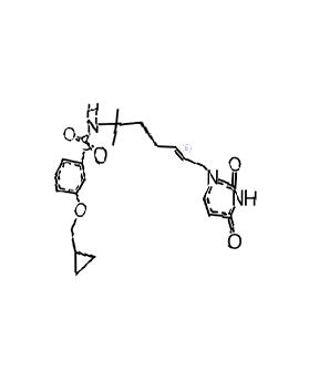 CC(C)(CC/C=C/Cn1ccc(=O)[nH]c1=O)NS(=O)(=O)c1cccc(OCC2CC2)c1